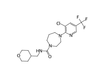 O=C(NCC1CCOCC1)N1CCCN(c2ncc(C(F)(F)F)cc2Cl)CC1